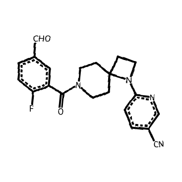 N#Cc1ccc(N2CCC23CCN(C(=O)c2cc(C=O)ccc2F)CC3)nc1